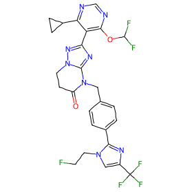 O=C1CCn2nc(-c3c(OC(F)F)ncnc3C3CC3)nc2N1Cc1ccc(-c2nc(C(F)(F)F)cn2CCF)cc1